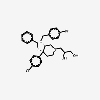 OCC(O)CN1CC[C@@](OCc2ccccc2)(c2ccc(Cl)cc2)[C@H](OCc2ccc(Br)cc2)C1